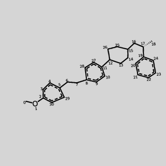 COc1ccc(CCc2ccc(C3CCC(C[C@H](C)c4ccccc4)CC3)cc2)cc1